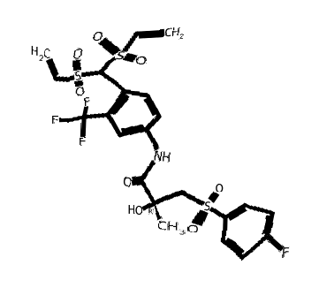 C=CS(=O)(=O)C(c1ccc(NC(=O)[C@@](C)(O)CS(=O)(=O)c2ccc(F)cc2)cc1C(F)(F)F)S(=O)(=O)C=C